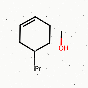 CC(C)C1CC=CCC1.CO